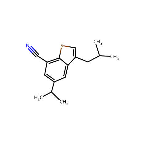 CC(C)Cc1csc2c(C#N)cc(C(C)C)cc12